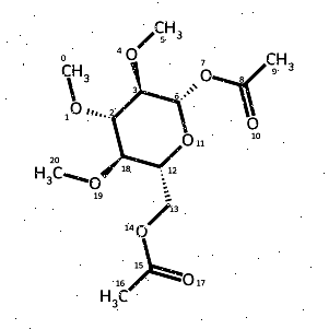 CO[C@@H]1[C@@H](OC)[C@H](OC(C)=O)O[C@H](COC(C)=O)[C@H]1OC